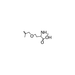 C=C(C)COCCC(N)C(=O)O